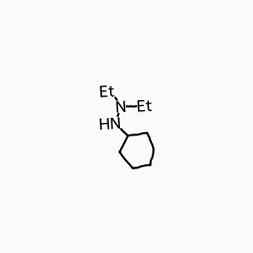 CCN(CC)NC1CCCCC1